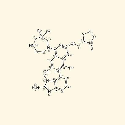 CN1CCC[C@H]1COc1nc(N2CCNCC(F)(F)C2)c2cc(Cl)c(-c3cccc4nc(N)n(C)c34)c(F)c2n1